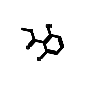 COC(=O)c1c(O)cccc1Cl